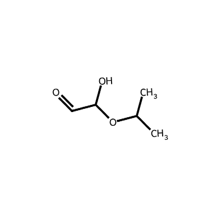 CC(C)OC(O)C=O